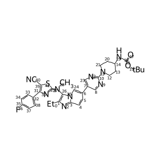 CCc1nc2ccc(-c3cnc(N4CCC(NC(=O)OC(C)(C)C)CC4)nc3)cn2c1N(C)c1nc(-c2ccc(F)cc2)c(C#N)s1